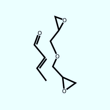 C(OCC1CO1)C1CO1.CC=CC=O